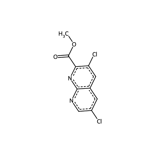 COC(=O)c1nc2ncc(Cl)cc2cc1Cl